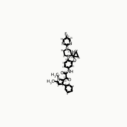 Cc1cc(-c2ccccc2)c(C(=O)C(=O)Nc2ccc3c(c2)OC2(CC2)[C@@H]2CN(c4ncc(F)cn4)CCN32)n1C